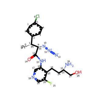 CC(C)[C@H](c1ccc(Cl)cc1)[C@H](N=[N+]=[N-])C(=O)Nc1cncc(F)c1CC[C@H](N)CO